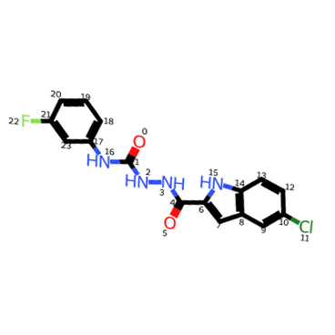 O=C(NNC(=O)c1cc2cc(Cl)ccc2[nH]1)Nc1cccc(F)c1